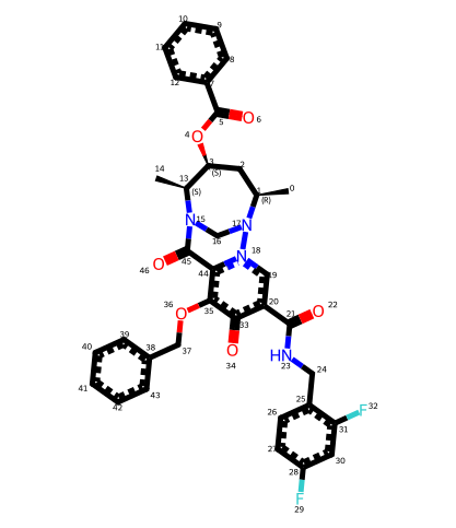 C[C@@H]1C[C@H](OC(=O)c2ccccc2)[C@H](C)N2CN1n1cc(C(=O)NCc3ccc(F)cc3F)c(=O)c(OCc3ccccc3)c1C2=O